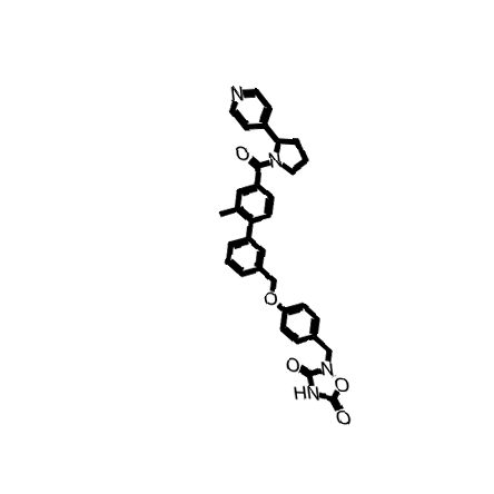 Cc1cc(C(=O)N2CCCC2c2ccncc2)ccc1-c1cccc(COc2ccc(Cn3oc(=O)[nH]c3=O)cc2)c1